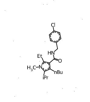 CCCCc1c(C(=O)NCc2ccc(Cl)cc2)c(CC)n(C)c1C(C)C